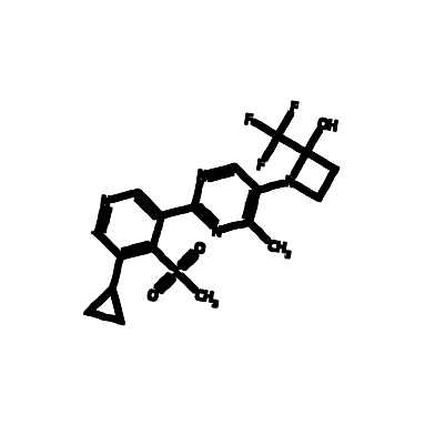 Cc1nc(-c2cn[c]c(C3CC3)c2S(C)(=O)=O)ncc1N1CCC1(O)C(F)(F)F